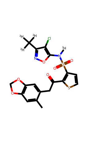 [2H]N(c1onc(C([2H])([2H])[2H])c1Cl)S(=O)(=O)c1ccsc1C(=O)Cc1cc2c(cc1C)OCO2